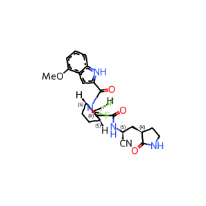 COc1cccc2[nH]c(C(=O)N3[C@H]4CC[C@@H]([C@@H]3C(=O)N[C@H](C#N)C[C@H]3CCNC3=O)C(F)(F)C4)cc12